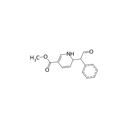 COC(=O)C1=CNC(C(C=O)c2ccccc2)C=C1